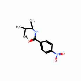 CC(C)C(C)NC(=O)c1ccc([N+](=O)[O-])cc1